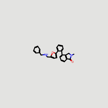 CN1Cc2c(cccc2-c2ccccc2-c2ccc(CNCc3ccccc3)o2)C1=O